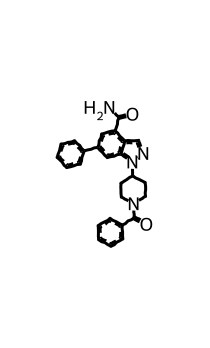 NC(=O)c1cc(-c2ccccc2)cc2c1cnn2C1CCN(C(=O)c2ccccc2)CC1